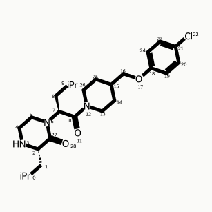 CC(C)C[C@@H]1NCCN([C@@H](CC(C)C)C(=O)N2CCC(COc3ccc(Cl)cc3)CC2)C1=O